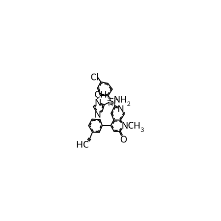 C#Cc1cccc(-c2cc(=O)n(C)c3cnc([Si@](N)(c4ccc(Cl)cc4)c4cncn4C)cc23)c1